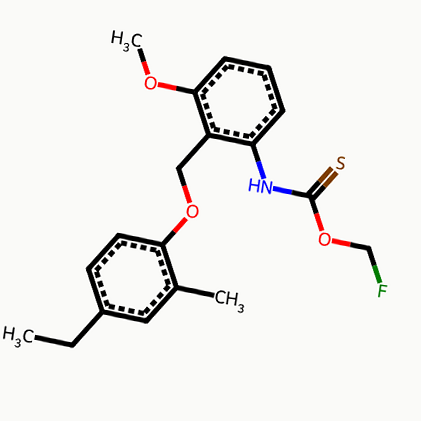 CCc1ccc(OCc2c(NC(=S)OCF)cccc2OC)c(C)c1